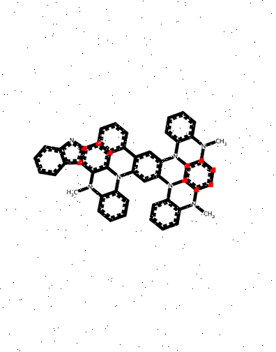 CN1c2ccccc2N(c2cc(N3c4ccccc4N(C)c4ccccc43)c(N3c4ccccc4N(C)c4ccccc43)cc2-c2cccc(-c3nc4ccccc4s3)c2)c2ccccc21